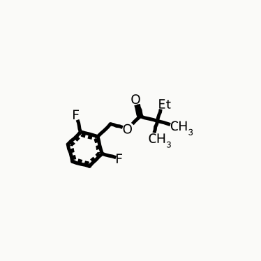 CCC(C)(C)C(=O)OCc1c(F)cccc1F